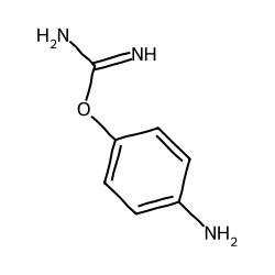 N=C(N)Oc1ccc(N)cc1